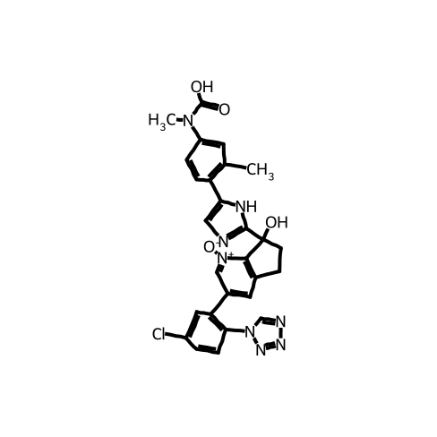 Cc1cc(N(C)C(=O)O)ccc1-c1cnc(C2(O)CCc3cc(-c4cc(Cl)ccc4-n4cnnn4)c[n+]([O-])c32)[nH]1